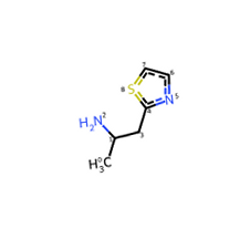 CC(N)Cc1nccs1